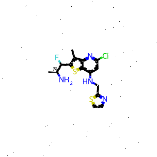 Cc1c(C(F)[C@H](C)N)sc2c(NCc3nccs3)cc(Cl)nc12